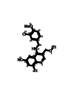 CCOCc1cnc2c(CC)cc(C#N)cc2c1NCc1ccc(OC)c(Cl)c1